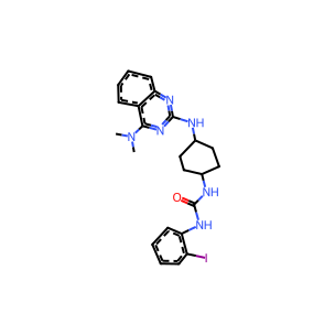 CN(C)c1nc(NC2CCC(NC(=O)Nc3ccccc3I)CC2)nc2ccccc12